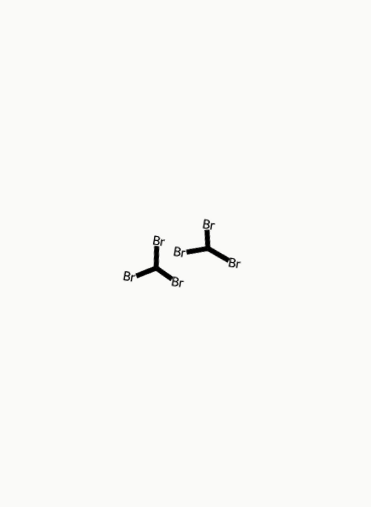 BrC(Br)Br.BrC(Br)Br